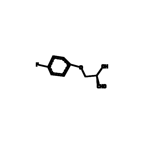 O=C[C@H](O)COc1ccc(F)cc1